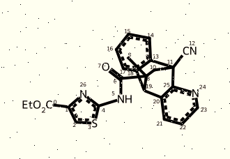 CCOC(=O)c1csc(NC(=O)C2(C)CC3(C#N)c4ccccc4C2c2cccnc23)n1